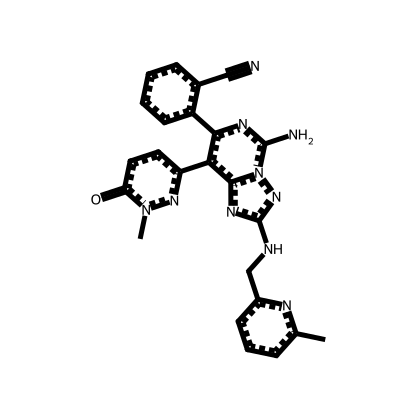 Cc1cccc(CNc2nc3c(-c4ccc(=O)n(C)n4)c(-c4ccccc4C#N)nc(N)n3n2)n1